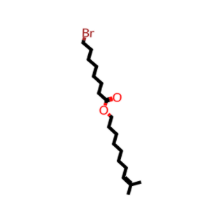 CC(C)=CCCCCCCCOC(=O)CCCCCCCBr